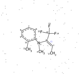 C/C=C(\N(C)c1ccccc1C)C(F)(F)F